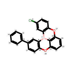 Clc1ccc2c(c1)B1c3cc(-c4ccccc4)ccc3Oc3cccc(c31)O2